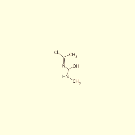 CNC(O)/N=C(\C)Cl